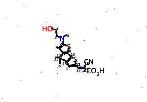 CN(CCO)c1cc2c(s1)-c1sc(/C=C(\C#N)C(=O)O)cc1C2(C)C